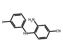 N#Cc1ccc(Nc2cccc(I)c2)c(N)c1